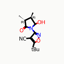 C[C@H]1C(=O)N(c2noc(C(C)(C)C)c2C#N)C(O)[C@@H]1C